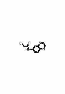 O=C(CCl)Nc1ccc2nccnc2c1